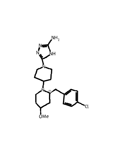 COC1CCN(C2CCN(c3nnc(N)[nH]3)CC2)[C@@H](Cc2ccc(Cl)cc2)C1